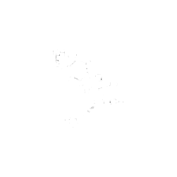 CC#CC(O)C(F)(F)Oc1ccc(SC)cc1